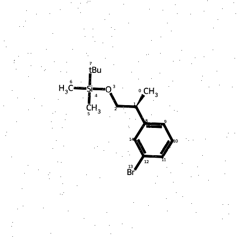 C[C@H](CO[Si](C)(C)C(C)(C)C)c1cccc(Br)c1